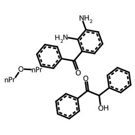 CCCOCCC.Nc1cccc(C(=O)c2ccccc2)c1N.O=C(c1ccccc1)C(O)c1ccccc1